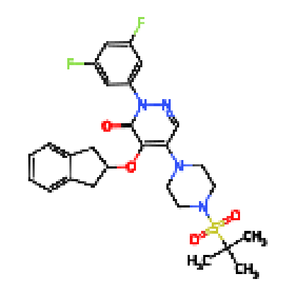 CC(C)(C)S(=O)(=O)N1CCN(c2cnn(-c3cc(F)cc(F)c3)c(=O)c2OC2Cc3ccccc3C2)CC1